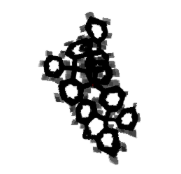 c1ccc(C2(c3cccc(N(c4ccc5c(c4)oc4ccccc45)c4ccccc4C4(c5ccccc5)c5ccccc5-c5ccccc54)c3)c3ccccc3Oc3ccccc32)cc1